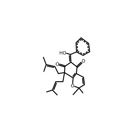 CC(C)=CCC1(CC=C(C)C)C(=O)C(=C(O)c2ccccc2)C(=O)C2=C1OC(C)(C)C=C2